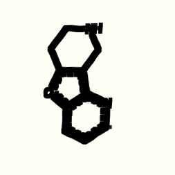 [c]1ccc2oc3c(c2n1)CNCC3